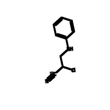 N#[13C]C(Cl)CNc1ccccc1